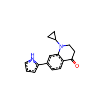 O=C1CCN(C2CC2)c2cc(-c3ccc[nH]3)ccc21